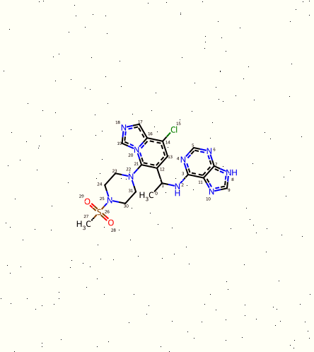 CC(Nc1ncnc2[nH]cnc12)c1cc(Cl)c2cncn2c1N1CCN(S(C)(=O)=O)CC1